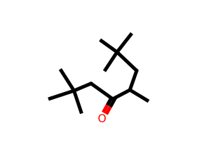 CC(CC(C)(C)C)C(=O)CC(C)(C)C